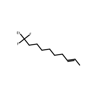 CC=CCCCCCCC(F)(F)CC